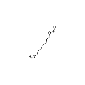 NCCCCCCCOP=O